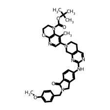 COc1ccc(CN2Cc3cc(Nc4ncc5c(n4)CN(c4cnc6c(c4C)N(C(=O)OC(C)(C)C)CCO6)CC5)ccc3C2=O)cc1